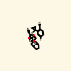 N#Cc1ccc(N2C3CCC2CN(C(=O)COC2(c4cc(F)ccc4C#N)CC2)C3)nc1